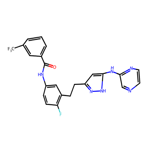 O=C(Nc1ccc(F)c(CCc2cc(Nc3cnccn3)[nH]n2)c1)c1cccc(C(F)(F)F)c1